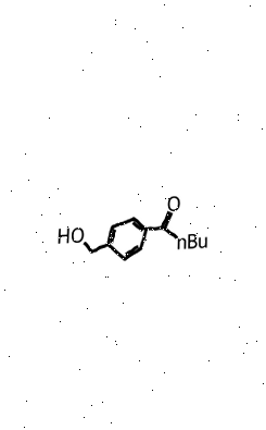 [CH2]CCCC(=O)c1ccc(CO)cc1